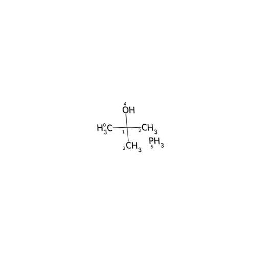 CC(C)(C)O.P